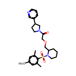 COc1cc(C)c(S(=O)(=O)N2CCCCC2COCC(=O)N2CCC(c3cccnc3)C2)c(C)c1